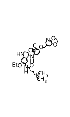 CCOc1cc2c(cc1NC(=O)CCCN(C)C)C(Nc1ccc(OCc3cnc4c(c3)OCCO4)c(Cl)c1)C(C#N)CN2